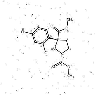 COC(=O)[C@H]1CC[C@](C(=O)OC)(c2ccc(Cl)cc2Cl)O1